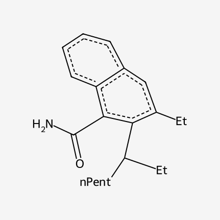 CCCCCC(CC)c1c(CC)cc2ccccc2c1C(N)=O